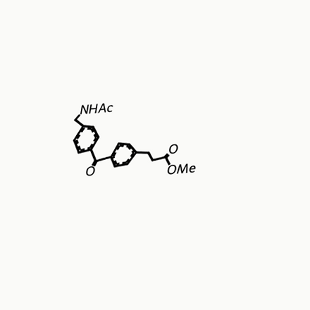 COC(=O)CCc1ccc(C(=O)c2ccc(CNC(C)=O)cc2)cc1